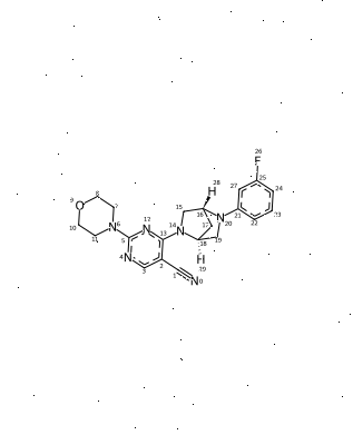 N#Cc1cnc(N2CCOCC2)nc1N1C[C@H]2C[C@H]1CN2c1cccc(F)c1